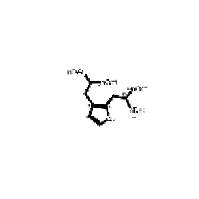 CCCCCCCCCCC(CCCCCCCC)Cc1ccsc1CC(CCCCCCCC)CCCCCCCCCC